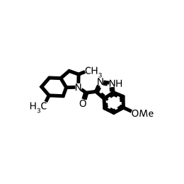 COc1ccc2c(C(=O)N3C(C)CC4CCC(C)CC43)n[nH]c2c1